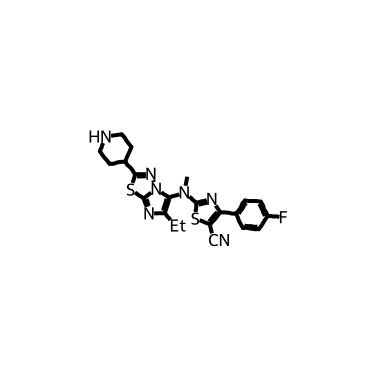 CCc1nc2sc(C3CCNCC3)nn2c1N(C)c1nc(-c2ccc(F)cc2)c(C#N)s1